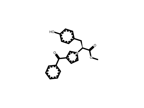 COC(=O)[C@H](Cc1ccc(O)cc1)n1ccc(C(=O)c2ccccc2)c1